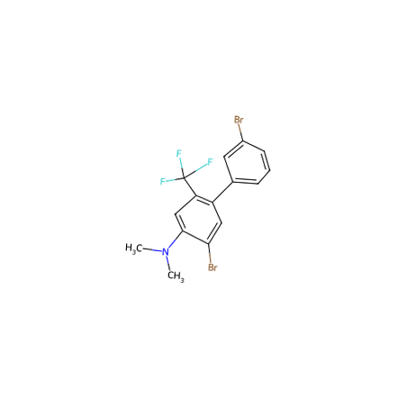 CN(C)c1cc(C(F)(F)F)c(-c2cccc(Br)c2)cc1Br